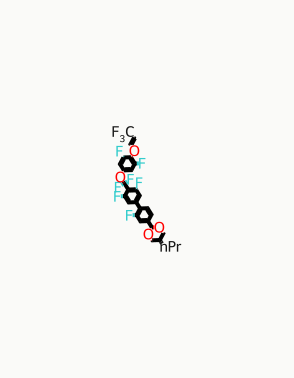 CCCC1COC(c2ccc(-c3cc(F)c(C(F)(F)Oc4cc(F)c(O/C=C/C(F)(F)F)c(F)c4)c(F)c3)c(F)c2)OC1